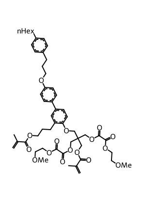 C=C(C)C(=O)OCCCc1cc(-c2ccc(OCCCc3ccc(CCCCCC)cc3)cc2)ccc1OCC(COC(=O)C(=C)C)(COC(=O)C(=O)OCCOC)COC(=O)C(=O)OCCOC